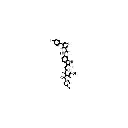 CC1=C(O)OC(/C=C2\C(=O)Nc3cc(NC(=O)c4c[nH]cc(-c5ccc(F)cc5)c4=O)ccc32)C(C)=C1C(=O)N1CCN(C)CC1